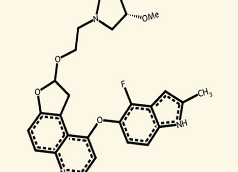 CO[C@H]1CN(CCOC2Cc3c(ccc4nccc(Oc5ccc6[nH]c(C)cc6c5F)c34)O2)C[C@H]1OC